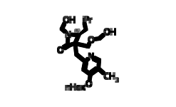 CCCCCCOc1cc(CC2(COCO)C(=O)N(CO)[C@H]2CC(C)C)ncc1C